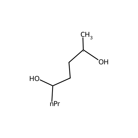 CCCC(O)CC[C](C)O